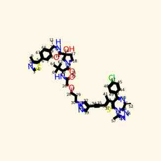 Cc1ncsc1-c1ccc([C@H](C)NC(=O)[C@@]2(O)CCN(C(=O)[C@@H](NC(=O)COCCCn3cc(C#Cc4sc5c(c4C)C(c4ccc(Cl)cc4)=N[C@@H](C)c4nnc(C)n4-5)cn3)C(C)(C)C)C2)cc1